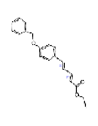 CCOC(=O)/C=C/C=C/c1ccc(OCc2ccccc2)cc1